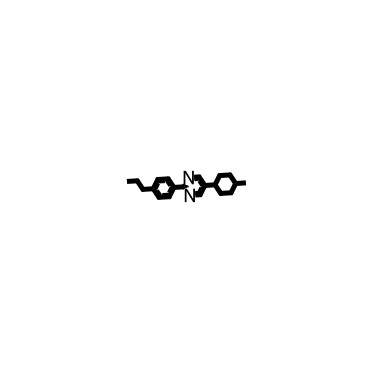 CCCc1ccc(-c2ncc(C3CCC(C)CC3)cn2)cc1